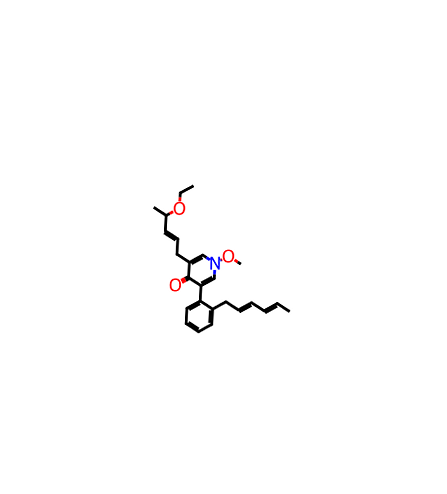 C/C=C/C=C/Cc1ccccc1-c1cn(OC)cc(C/C=C/C(C)OCC)c1=O